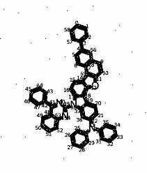 c1ccc(-c2ccc3c(ccc4oc5c(ccc6c5c5ccc(N(c7ccccc7)c7ccccc7)cc5n6-c5nc(-c6ccccc6)c6ccccc6n5)c43)c2)cc1